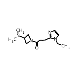 CCn1ccnc1CCC(=O)N1CC(N(C)C)C1